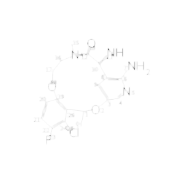 CC1Oc2cnc(N)c(c2)C(=N)C(=O)N(C)CCOc2ccc(F)c(Cl)c21